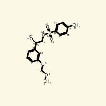 COCOc1cccc([C@@H](O)COS(=O)(=O)c2ccc(C)cc2)c1